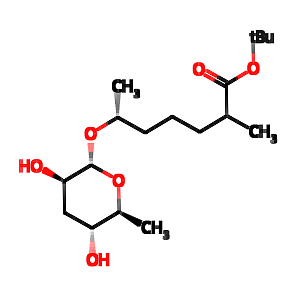 CC(CCC[C@@H](C)O[C@@H]1O[C@@H](C)[C@H](O)C[C@H]1O)C(=O)OC(C)(C)C